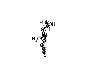 COCCn1c(CN2CCC(c3cccc(OCc4ccc(Cl)cc4F)n3)CC2)nc2cc(C(=O)NCc3ccc(O)c(OC)c3)ccc21